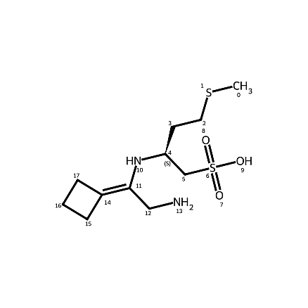 CSCC[C@@H](CS(=O)(=O)O)NC(CN)=C1CCC1